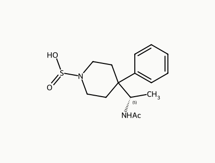 CC(=O)N[C@@H](C)C1(c2ccccc2)CCN(S(=O)O)CC1